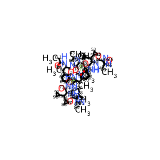 CCC(=O)N[C@@H](C(=O)N1C[C@H](CC2CC2N(C)C(=O)N[C@@H](C(=O)N2CCN(C)CC2)[C@@H](C)c2ccc(NC(=O)[C@@H](NC(=O)c3nonc3CC)C(C3CC3)C3CC3)c(F)c2)N(C)[C@H](C)C1)[C@@H](C)c1ccc(NC(=O)[C@@H](NC(=O)c2ccnn2CC)C(C2CC2)C2CC2)c(F)c1